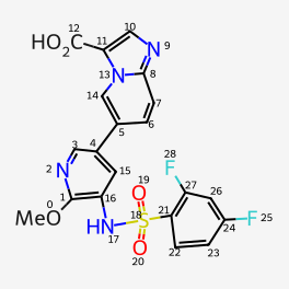 COc1ncc(-c2ccc3ncc(C(=O)O)n3c2)cc1NS(=O)(=O)c1ccc(F)cc1F